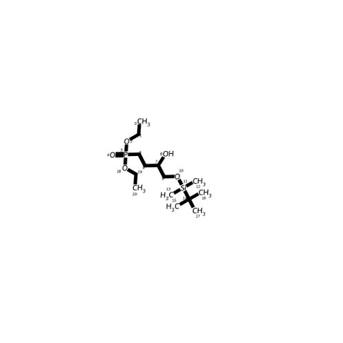 CCOP(=O)(CCC(O)CO[Si](C)(C)C(C)(C)C)OCC